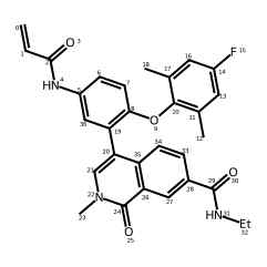 C=CC(=O)Nc1ccc(Oc2c(C)cc(F)cc2C)c(-c2cn(C)c(=O)c3cc(C(=O)NCC)ccc23)c1